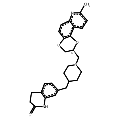 Cc1ccc2c3c(ccc2n1)OC[C@H](CN1CCC(Cc2ccc4c(c2)NC(=O)CC4)CC1)O3